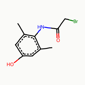 Cc1cc(O)cc(C)c1NC(=O)CBr